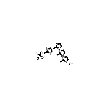 CC1=NCC=N1.CC1=NCC=N1.CC1=NCC=N1.CC1=NCC=N1.O=S(=O)([O-])[O-].[Cu+2]